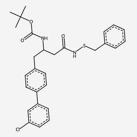 CC(C)(C)OC(=O)NC(CC(=O)NSCc1ccccc1)Cc1ccc(-c2cccc(Cl)c2)cc1